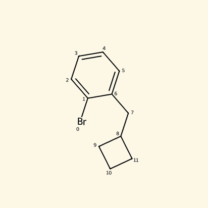 Brc1ccccc1CC1CCC1